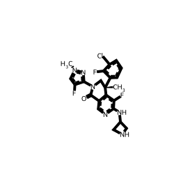 Cn1cc(F)c(N2C[C@](C)(c3cccc(Cl)c3F)c3c(cnc(NC4CNC4)c3F)C2=O)n1